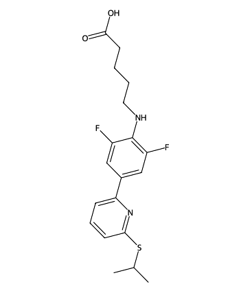 CC(C)Sc1cccc(-c2cc(F)c(NCCCCC(=O)O)c(F)c2)n1